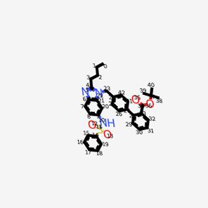 CCCCc1nc2ccc(NS(=O)(=O)c3ccccc3)cc2n1Cc1ccc(-c2ccccc2C(=O)OC(C)(C)C)cc1